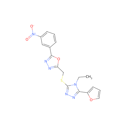 CCn1c(SCc2nnc(-c3cccc([N+](=O)[O-])c3)o2)nnc1-c1ccco1